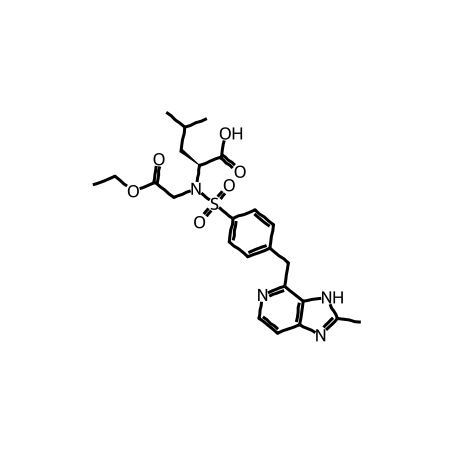 CCOC(=O)CN([C@@H](CC(C)C)C(=O)O)S(=O)(=O)c1ccc(Cc2nccc3nc(C)[nH]c23)cc1